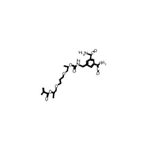 C=C(C)C(=O)OC(C)COCCCOCC(C)OC(=O)NCc1cc(C(N)=C=O)cc(C(N)=C=O)c1